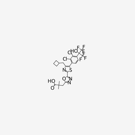 CC(C)(Cc1nnc(-c2nc(CC3CCC3)c(-c3ccc(C(O)(C(F)(F)F)C(F)(F)F)c(Cl)c3Cl)s2)o1)C(=O)O